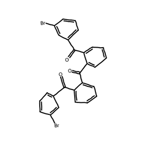 O=C(c1cccc(Br)c1)c1ccccc1C(=O)c1ccccc1C(=O)c1cccc(Br)c1